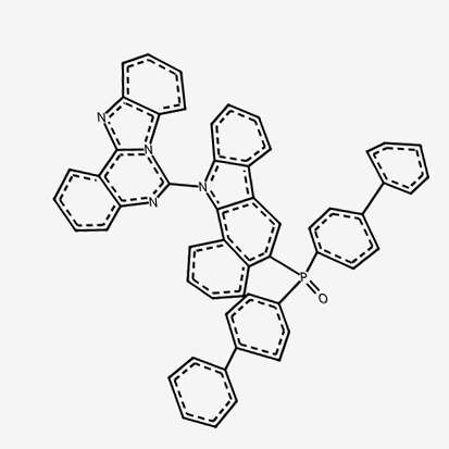 O=P(c1ccc(-c2ccccc2)cc1)(c1ccc(-c2ccccc2)cc1)c1cc2c3ccccc3n(-c3nc4ccccc4c4nc5ccccc5n34)c2c2ccccc12